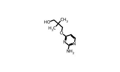 CC(C)(CO)COc1ccnc(N)n1